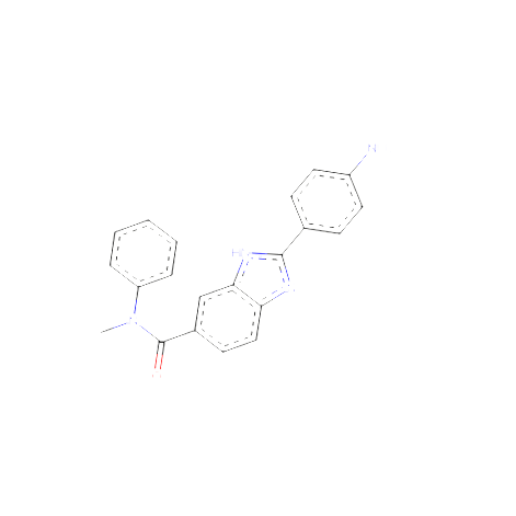 CN(C(=O)c1ccc2nc(-c3ccc(N)cc3)[nH]c2c1)c1ccccc1